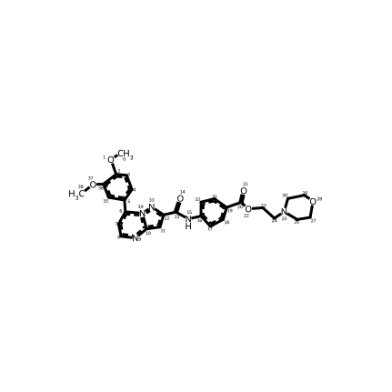 COc1ccc(-c2ccnc3cc(C(=O)Nc4ccc(C(=O)OCCN5CCOCC5)cc4)nn23)cc1OC